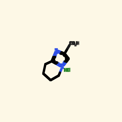 Cl.O=C(O)c1cn2c(n1)CCCC2